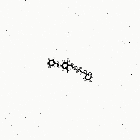 Fc1cc(OCc2ccccc2)cc(F)c1CCOCCCOC1CCCCO1